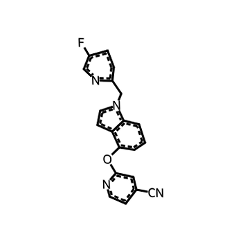 N#Cc1ccnc(Oc2cccc3c2ccn3Cc2ccc(F)cn2)c1